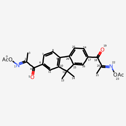 CC(=O)O/N=C(\C)C(=O)c1ccc2c(c1)C(C)(C)c1cc(C(=O)/C(C)=N/OC(C)=O)ccc1-2